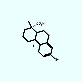 CC(C)C1=CCC2C(=C1)CCC1[C@]2(C)CCC[C@]1(C)C(=O)O